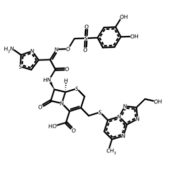 Cc1cc(SCC2=C(C(=O)O)N3C(=O)[C@@H](NC(=O)/C(=N\OCS(=O)(=O)c4ccc(O)c(O)c4)c4csc(N)n4)[C@H]3SC2)n2nc(CO)nc2n1